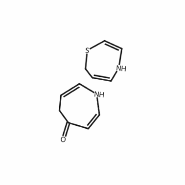 C1=CNC=CSC1.O=C1C=CNC=CC1